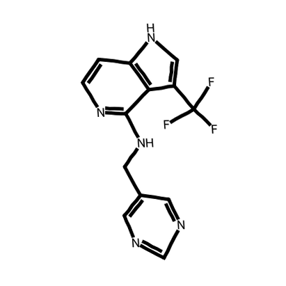 FC(F)(F)c1c[nH]c2ccnc(NCc3cncnc3)c12